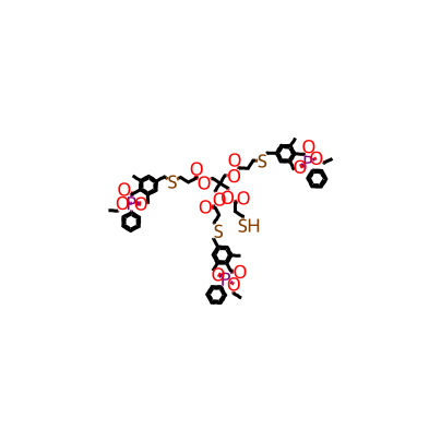 CCOP(=O)(C(=O)c1c(C)cc(CSCCC(=O)OCC(COC(=O)CCS)(COC(=O)CCSCc2cc(C)c(C(=O)P(=O)(OCC)c3ccccc3)c(C)c2)COC(=O)CCSCc2cc(C)c(C(=O)P(=O)(OCC)c3ccccc3)c(C)c2)cc1C)c1ccccc1